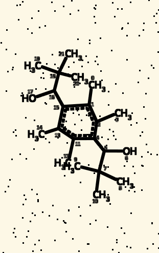 Cc1c(C)c(C(O)C(C)(C)C)c(C)c(C)c1C(O)C(C)(C)C